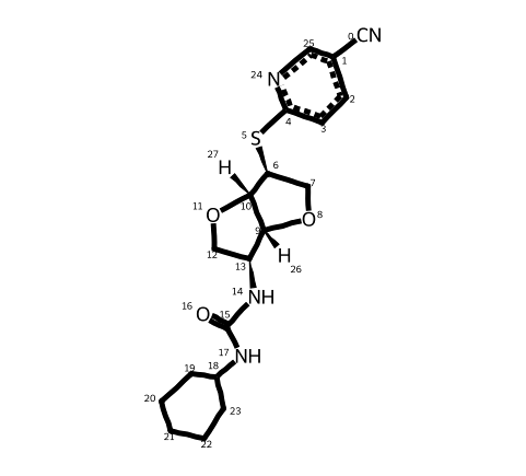 N#Cc1ccc(S[C@H]2CO[C@H]3[C@@H]2OC[C@@H]3NC(=O)NC2CCCCC2)nc1